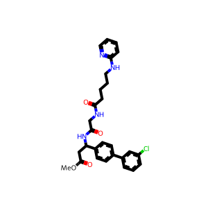 COC(=O)CC(NC(=O)CNC(=O)CCCCNc1ccccn1)c1ccc(-c2cccc(Cl)c2)cc1